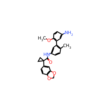 COc1ccc(N)cc1-c1cc(NC(=O)C2(c3ccc4c(c3)OCO4)CC2)ccc1C